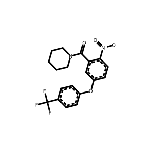 O=C(c1cc(Oc2ccc(C(F)(F)F)cc2)ccc1[N+](=O)[O-])N1CCCCC1